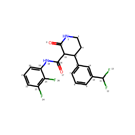 O=C1NCCC(c2cccc(C(F)F)c2)C1C(=O)Nc1cccc(F)c1F